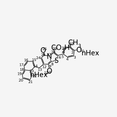 CCCCCCOc1ccc(-c2sc3c(OCCCCCC)c(Cc4cccc5ccccc45)cc(=O)n3c2C(=O)O)cc1C